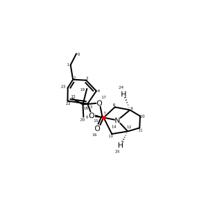 CCc1ccc(O[C@H]2C[C@H]3CC[C@@H](C2)N3C(=O)OC(C)(C)C)cc1